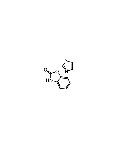 O=c1[nH]c2ccccc2o1.c1cscn1